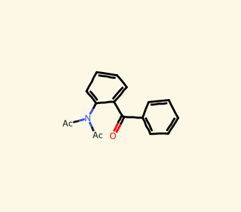 CC(=O)N(C(C)=O)c1ccccc1C(=O)c1ccccc1